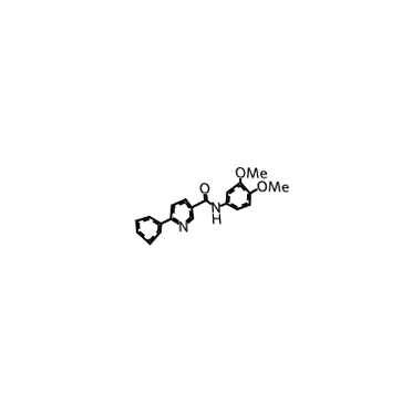 COc1ccc(NC(=O)c2ccc(-c3ccccc3)nc2)cc1OC